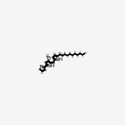 CCCCCCCCCCCc1ccc(C=c2[nH]c(=C3C=CC=N3)cc2OC)[nH]1